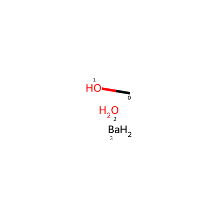 CO.O.[BaH2]